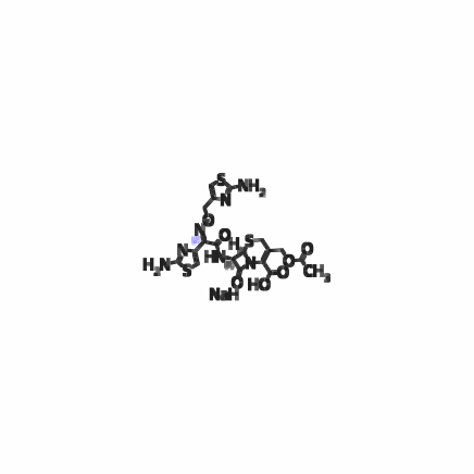 CC(=O)OCC1=C(C(=O)O)N2C(=O)[C@@H](NC(=O)/C(=N\OCc3csc(N)n3)c3csc(N)n3)[C@H]2SC1.[NaH]